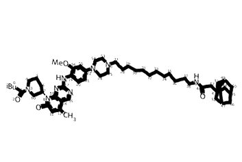 CCC(C)C(=O)N1CCC[C@H](n2c(=O)cc(C)c3cnc(Nc4ccc(N5CCN(CCCCCCCCCCCCNC(=O)CC67CC8CC(CC(C8)C6)C7)CC5)cc4OC)nc32)C1